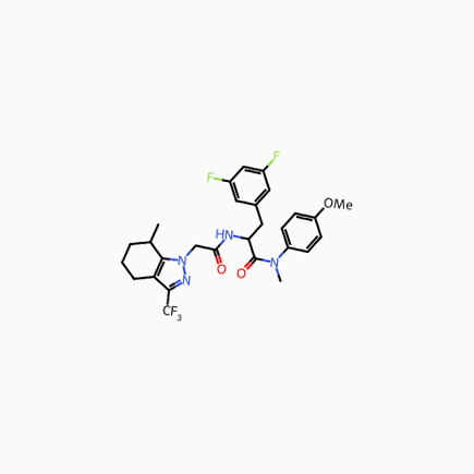 COc1ccc(N(C)C(=O)C(Cc2cc(F)cc(F)c2)NC(=O)Cn2nc(C(F)(F)F)c3c2C(C)CCC3)cc1